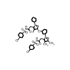 Cc1nn(-c2ccccc2)c(CC(=O)NS(=O)(=O)c2ccc(Cl)cc2)c1C.Cc1nn(-c2ccccc2)c(CC(=O)NS(=O)(=O)c2ccc(Cl)cc2)c1I